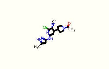 [C-]#[N+]c1c(C2CCN(C(C)=O)CC2)cc(Nc2cc(C)[nH]n2)nc1Cl